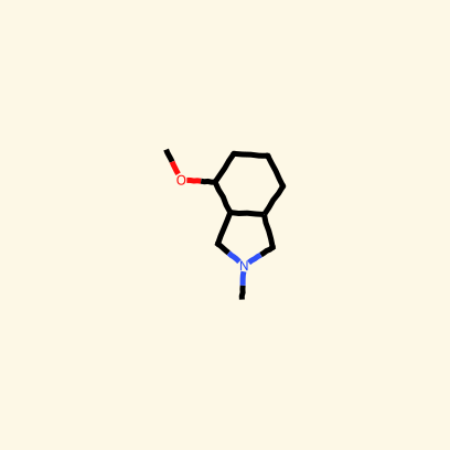 COC1CCCC2CN(C)CC21